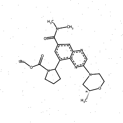 C[C@@H]1CN(c2cnc3cc(C(=O)N(C)C)cc(C4CCCN4C(=O)OC(C)(C)C)c3n2)CCO1